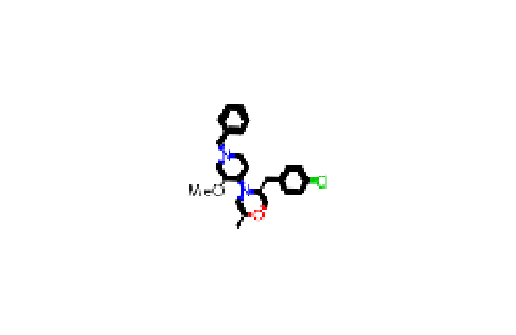 CO[C@@H]1CN(Cc2ccccc2)CCC1N1C[C@H](C)OC[C@@H]1Cc1ccc(Cl)cc1